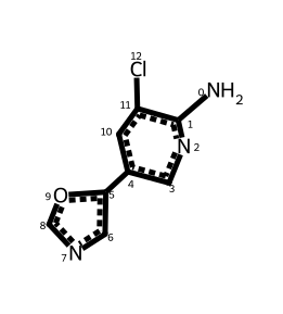 Nc1ncc(-c2cnco2)cc1Cl